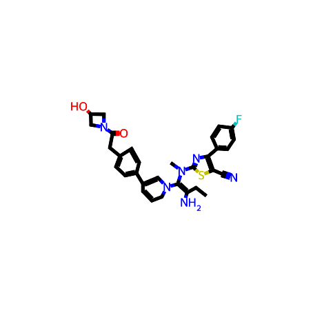 CC/C(N)=C(/N1C=C(c2ccc(CC(=O)N3CC(O)C3)cc2)C=CC1)N(C)c1nc(-c2ccc(F)cc2)c(C#N)s1